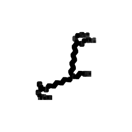 CCCCCCCCCOC(=O)OCCCCCCN(CCO)CCCCCCCC(OCCCCCCCC)OCCCCCCCC